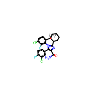 NC(=O)c1nc(C2CCCCC2)n(-c2c(CC(=O)O)ccc(Cl)c2F)c1-c1ccc(F)c(Cl)c1